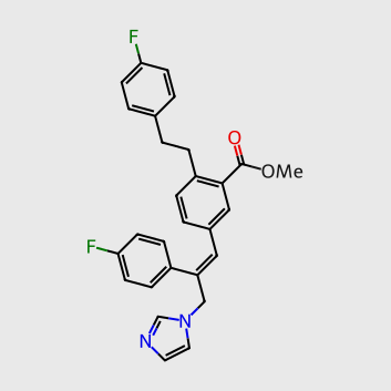 COC(=O)c1cc(C=C(Cn2ccnc2)c2ccc(F)cc2)ccc1CCc1ccc(F)cc1